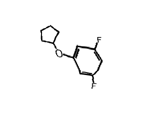 Fc1cc(F)cc(OC2CCCC2)c1